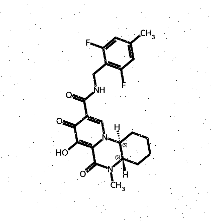 Cc1cc(F)c(CNC(=O)c2cn3c(c(O)c2=O)C(=O)N(C)[C@H]2CCCC[C@@H]23)c(F)c1